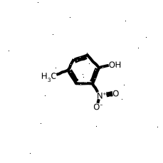 Cc1c[c]c(O)c([N+](=O)[O-])c1